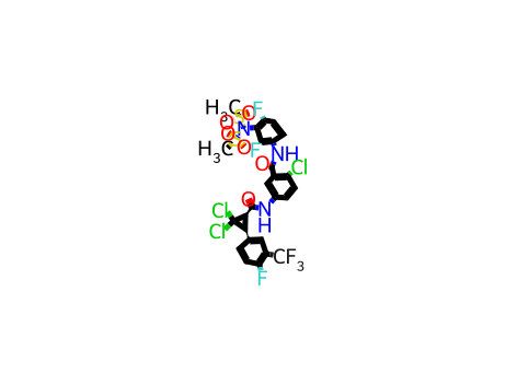 CS(=O)(=O)N(c1c(F)ccc(NC(=O)c2cc(NC(=O)[C@H]3[C@H](c4ccc(F)c(C(F)(F)F)c4)C3(Cl)Cl)ccc2Cl)c1F)S(C)(=O)=O